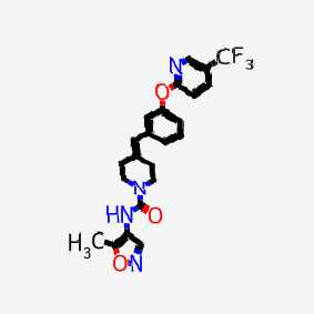 Cc1oncc1NC(=O)N1CCC(=Cc2cccc(Oc3ccc(C(F)(F)F)cn3)c2)CC1